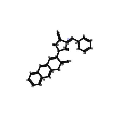 O=C1NC(C2=Cc3cc4ccccc4cc3CC2=S)N/C1=C\c1ccccn1